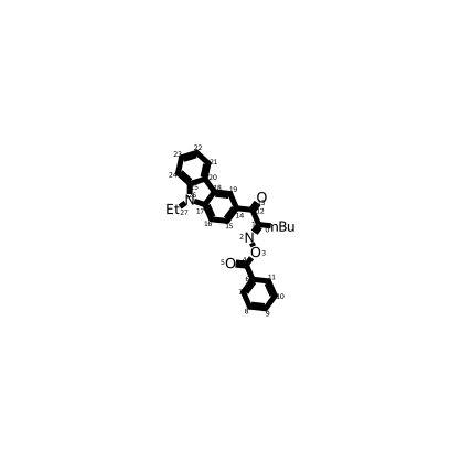 CCCCC(=NOC(=O)c1ccccc1)C(=O)c1ccc2c(c1)c1ccccc1n2CC